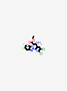 CCOC(=O)/C(=C(\N)c1cnc(Cl)c(Cl)c1)n1nnc2cc(F)c(F)cc21